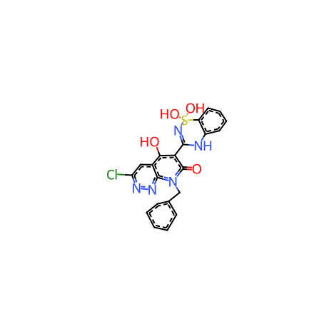 O=c1c(C2=NS(O)(O)c3ccccc3N2)c(O)c2cc(Cl)nnc2n1Cc1ccccc1